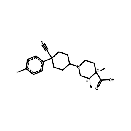 C[C@@H]1CN(C2CCC(C#N)(c3ccc(F)cc3)CC2)CC[C@@]1(C)C(=O)O